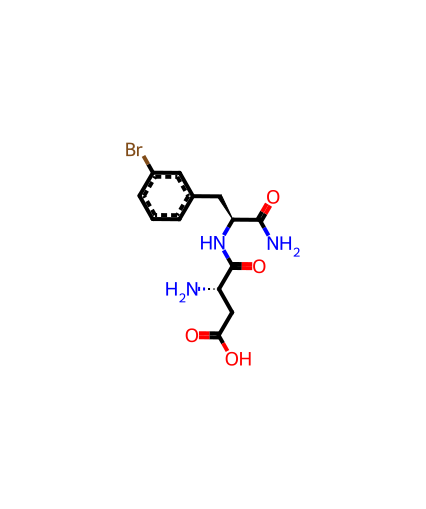 NC(=O)[C@H](Cc1cccc(Br)c1)NC(=O)[C@@H](N)CC(=O)O